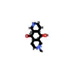 C[n+]1ccc2c(c1)C(=O)c1ccncc1C2=O